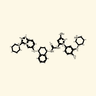 CC(C)(C)c1cc(NC(=O)N[C@H]2CC[C@@H](Oc3ccc4nnc(N5CCCCC5)n4c3)c3ccccc32)n(-c2ccc(Cl)c(O[C@@H]3CCCNC3)c2)n1